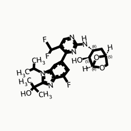 CC(C)n1c(C(C)(C)O)nc2c(F)cc(-c3nc(N[C@@H]4C[C@H]5CO[C@H](O5)[C@H]4O)ncc3C(F)F)cc21